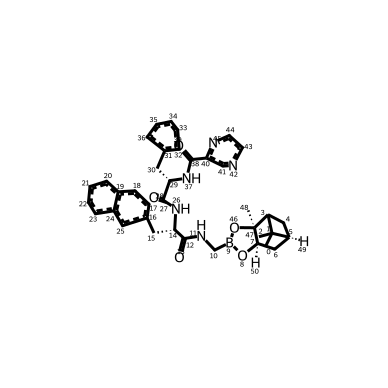 CC1(C)C2C[C@H]1C[C@H]1OB(CNC(=O)[C@H](Cc3ccc4ccccc4c3)NC(=O)[C@H](Cc3ccccc3)NC(=O)c3cnccn3)O[C@@]21C